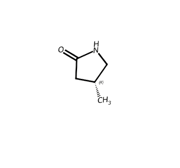 C[C@H]1CNC(=O)C1